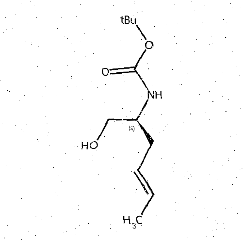 CC=CC[C@@H](CO)NC(=O)OC(C)(C)C